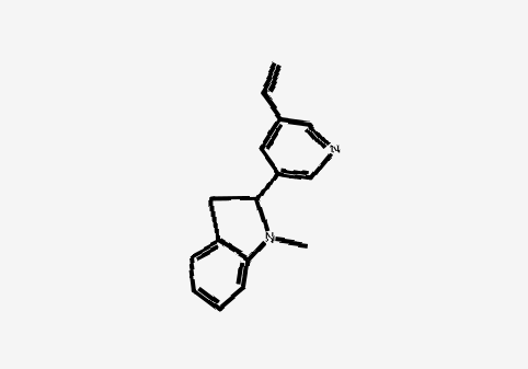 C=Cc1cncc(C2Cc3ccccc3N2C)c1